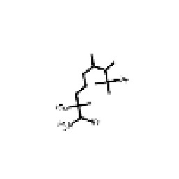 CC(C)C(N)C(C)(CCCC(C)C(C)C(C)(C)C(C)C)C(C)(C)C